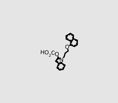 O=C(O)Oc1cc2ccccc2n1CCCOc1cccc2ccccc12